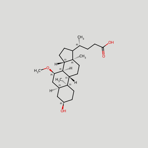 CO[C@@H]1C[C@@H]2C[C@H](O)CC[C@]2(C)[C@H]2CC[C@]3(C)C([C@H](C)CCC(=O)O)CC[C@H]3[C@H]12